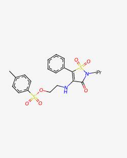 Cc1ccc(S(=O)(=O)OCCNC2=C(c3ccccc3)S(=O)(=O)N(C(C)C)C2=O)cc1